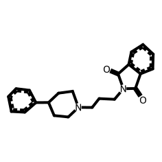 O=C1c2ccccc2C(=O)N1CCCN1CCC(c2ccccc2)CC1